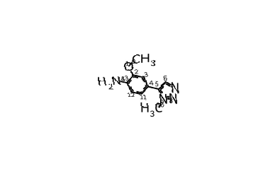 COc1cc(-c2cnnn2C)ccc1N